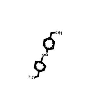 OCc1ccc(SSc2ccc(CO)cc2)cc1